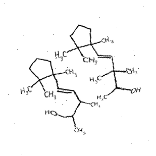 CC(O)C(C)(C)C=CC1(C)CCCC1(C)C.CC(O)C(C)C=CC1(C)CCCC1(C)C